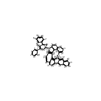 c1ccc(-c2nc(-n3c4ccc5cccc6c5c4c4c5c(ccc7c8cc9ccccc9cc8n6c75)ccc43)nc3c2sc2ccccc23)cc1